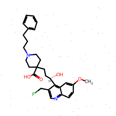 COc1ccc2ncc(CF)c([C@@H](O)CCC3(C(=O)O)CCN(CCCc4ccccc4)CC3)c2c1